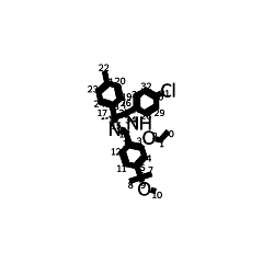 CCOc1cc(C(C)(C)OC)ccc1C1=N[C@@](C)(c2ccc(C)cc2)[C@@](C)(c2ccc(Cl)cc2)N1